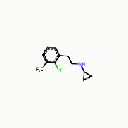 FC(F)(F)c1cccc(CCNC2CC2)c1Cl